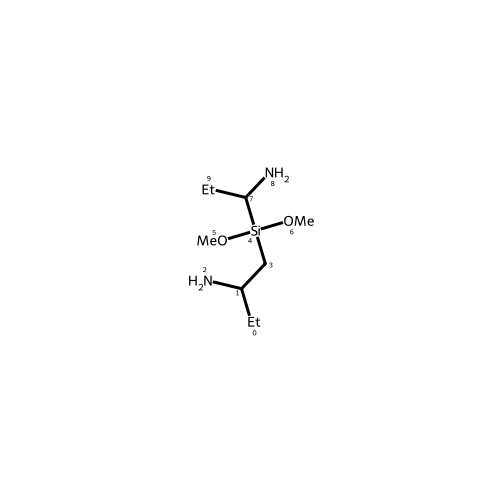 CCC(N)C[Si](OC)(OC)C(N)CC